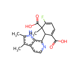 Cc1[nH]c2c(C3C(C(=O)O)=CC=C(F)C3(C)C(=O)O)nccc2c1C